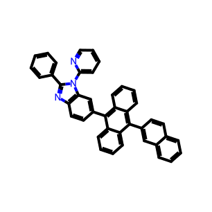 c1ccc(-c2nc3ccc(-c4c5ccccc5c(-c5ccc6ccccc6c5)c5ccccc45)cc3n2-c2ccccn2)cc1